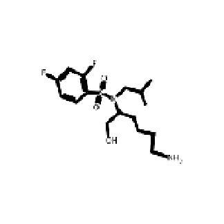 CC(C)CN(C(CO)CCCCN)S(=O)(=O)c1ccc(F)cc1F